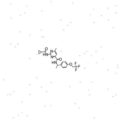 Cc1cc(C(=O)NC(C)c2ccc(OCC(F)(F)F)cc2)nc(NC(=O)C2CC2)n1